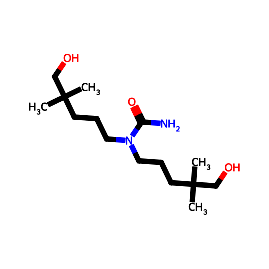 CC(C)(CO)CCCN(CCCC(C)(C)CO)C(N)=O